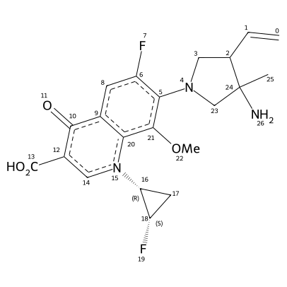 C=CC1CN(c2c(F)cc3c(=O)c(C(=O)O)cn([C@@H]4C[C@@H]4F)c3c2OC)CC1(C)N